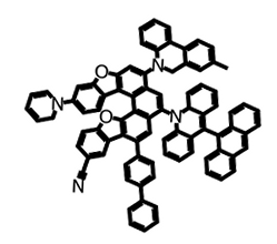 Cc1ccc2c(c1)CN(c1cc3oc4cc(N5C=CC=CC5)ccc4c3c3c1cc(N1c4ccccc4C(c4c5ccccc5cc5ccccc45)=C4C=CC=CC41)c1cc(-c4ccc(-c5ccccc5)cc4)c4c5cc(C#N)ccc5oc4c13)c1ccccc1-2